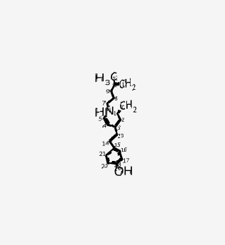 C=C/C=C(\C=C/NCCCC(=C)C)/C=C/c1ccc(O)cc1